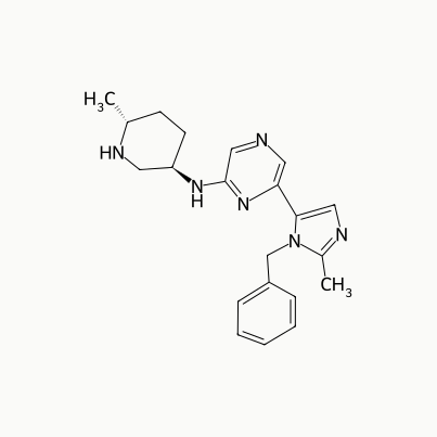 Cc1ncc(-c2cncc(N[C@@H]3CC[C@@H](C)NC3)n2)n1Cc1ccccc1